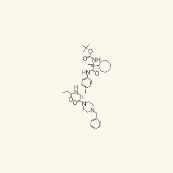 CCC(=O)N[C@H](Cc1ccc(NC(=O)[C@](C)(NC(=O)OC(C)(C)C)C2CCCCCC2)cc1)C(=O)N1CCN(Cc2ccccc2)CC1